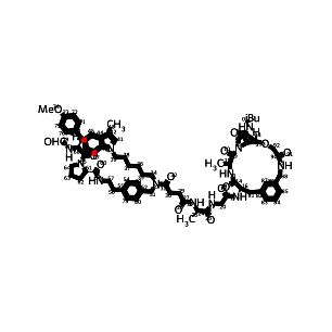 CCC(C)NC(=O)C1[C@@H]2CCN1C(=O)C(C)NC(=O)[C@@H](NC(=O)CNC(=O)[C@H](C)NC(=O)CCC(=O)N(CCCCCCn1cc(C)c3cc(F)ccc31)Cc1ccc(CCNC(=O)[C@@H]3CCCN3C(=O)[C@H](Cc3ccc(OC)cc3)NC=O)cc1)Cc1cccc(c1)CNC(=O)CO2